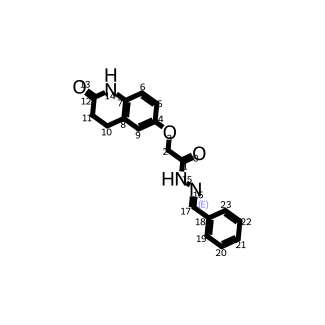 O=C(COc1ccc2c(c1)CCC(=O)N2)N/N=C/c1ccccc1